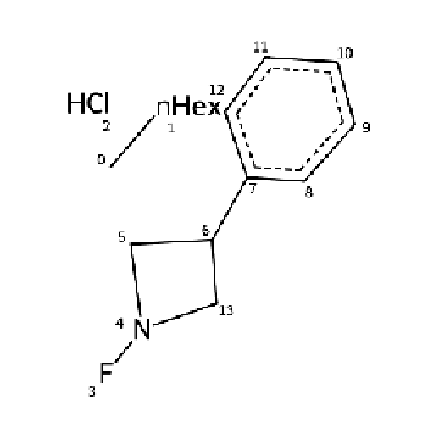 CCCCCCC.Cl.FN1CC(c2ccccc2)C1